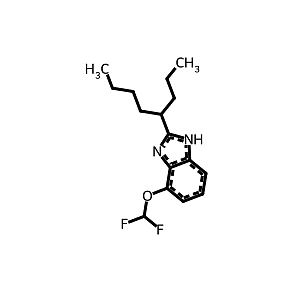 CCCCC(CCC)c1nc2c(OC(F)F)cccc2[nH]1